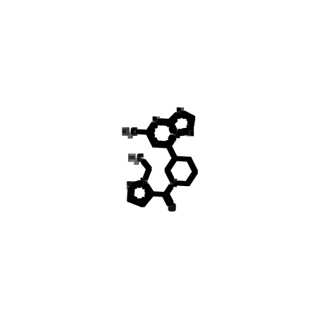 CCn1nccc1C(=O)N1CCCC(c2cc(C)nc3ncnn23)C1